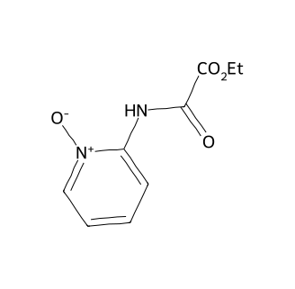 CCOC(=O)C(=O)Nc1cccc[n+]1[O-]